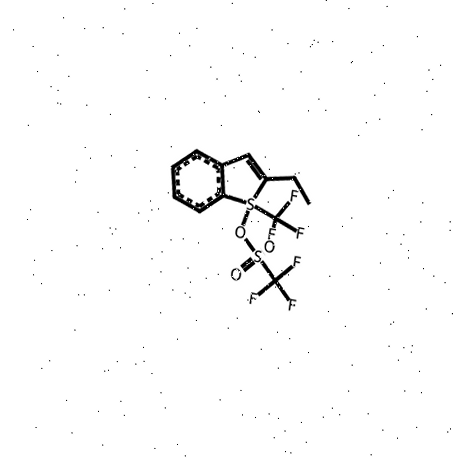 CCC1=Cc2ccccc2S1(OS(=O)(=O)C(F)(F)F)C(F)(F)F